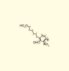 O=Cc1c(CCCCCCC(=O)O)ccc(F)c1[N+](=O)[O-]